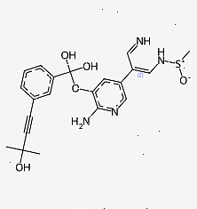 C[S+]([O-])N/C=C(\C=N)c1cnc(N)c(OC(O)(O)c2cccc(C#CC(C)(C)O)c2)c1